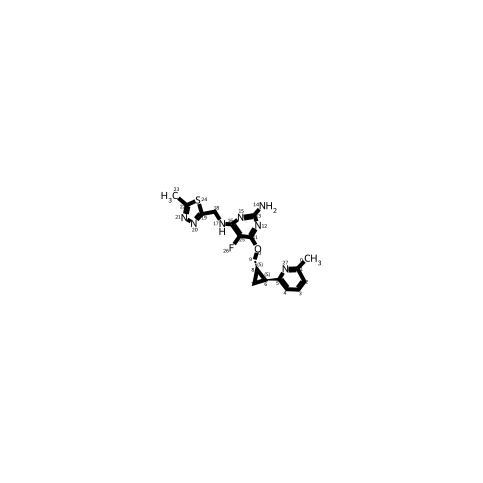 Cc1cccc([C@H]2C[C@@H]2COc2nc(N)nc(NCc3nnc(C)s3)c2F)n1